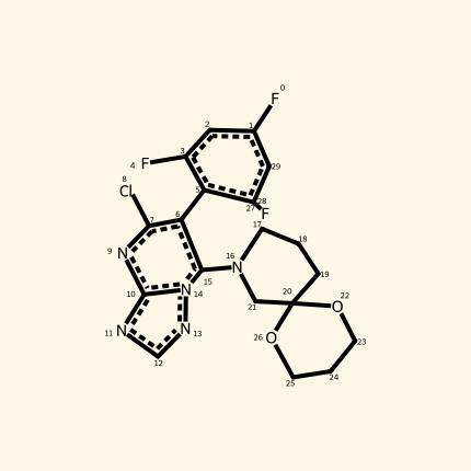 Fc1cc(F)c(-c2c(Cl)nc3ncnn3c2N2CCCC3(C2)OCCCO3)c(F)c1